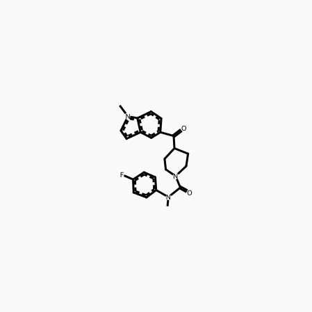 CN(C(=O)N1CCC(C(=O)c2ccc3c(ccn3C)c2)CC1)c1ccc(F)cc1